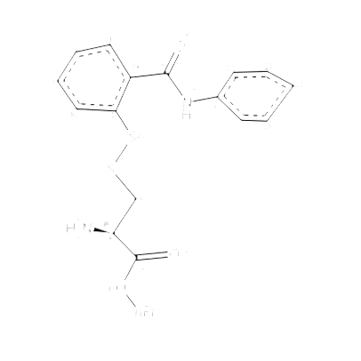 CCCOC(=O)[C@@H](N)CS[Se]c1ccccc1C(=O)Nc1ccccc1